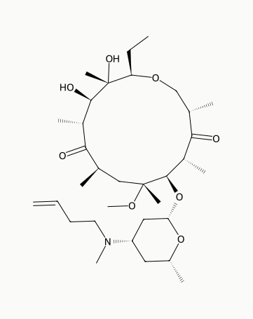 C=CCCN(C)[C@@H]1C[C@H](O[C@@H]2[C@@H](C)C(=O)[C@@H](C)CO[C@H](CC)[C@@](C)(O)[C@H](O)[C@@H](C)C(=O)[C@H](C)C[C@@]2(C)OC)O[C@H](C)C1